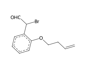 C=CCCOc1ccccc1C(Br)C=O